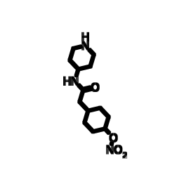 O=C(CC1CCC(O[N+](=O)[O-])CC1)NC1CCNCC1